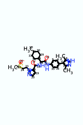 Cc1n[nH]c(C)c1-c1ccc(NC(=O)[C@@H](NC(=O)c2ccnn2CC[S+](C)[O-])C2CCC(C)CC2)cc1